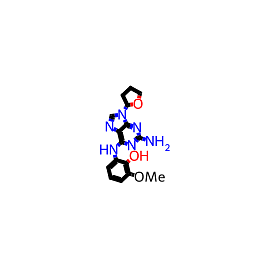 COc1cccc(Nc2nc(N)nc3c2ncn3C2CCCO2)c1O